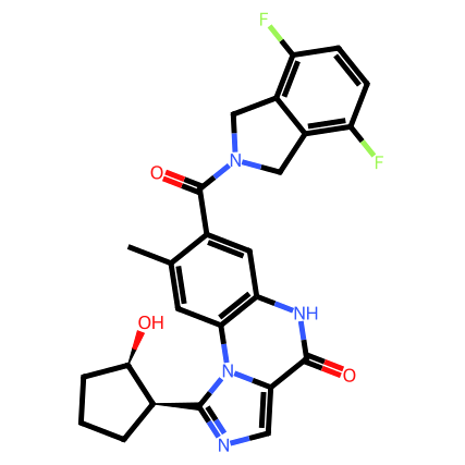 Cc1cc2c(cc1C(=O)N1Cc3c(F)ccc(F)c3C1)[nH]c(=O)c1cnc([C@H]3CCC[C@H]3O)n12